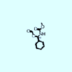 COC(=O)N[C@H](OC=O)C1CCCCC1